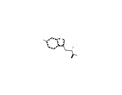 N[C@H](Cc1c[nH]c2cc(Br)ccc12)C(=O)O